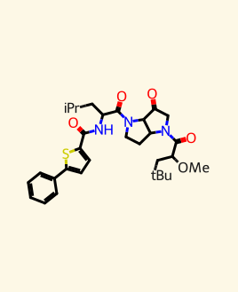 COC(CC(C)(C)C)C(=O)N1CC(=O)C2C1CCN2C(=O)C(CC(C)C)NC(=O)c1ccc(-c2ccccc2)s1